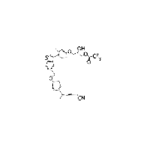 Cc1cc(OCC(O)COC(=O)C(F)(F)F)ccc1-c1csc2ccc(COc3ccc(C(C)C#CCC#N)cc3)cc12